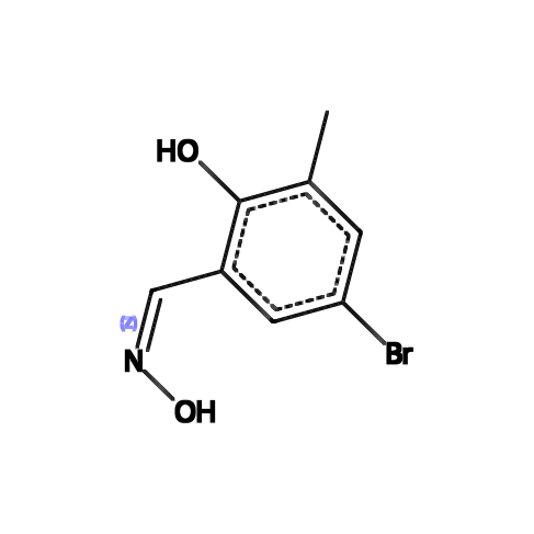 Cc1cc(Br)cc(/C=N\O)c1O